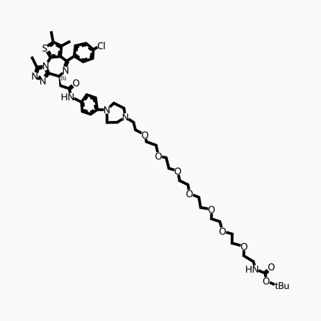 Cc1sc2c(c1C)C(c1ccc(Cl)cc1)=N[C@@H](CC(=O)Nc1ccc(N3CCN(CCOCCOCCOCCOCCOCCOCCOCCNC(=O)OC(C)(C)C)CC3)cc1)c1nnc(C)n1-2